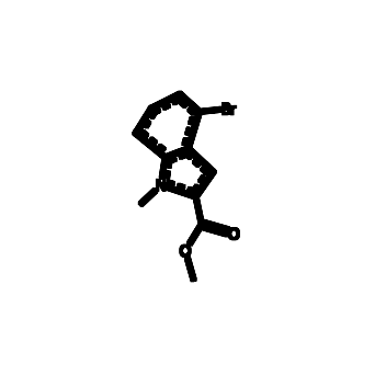 COC(=O)c1cc2c(Br)cccc2n1C